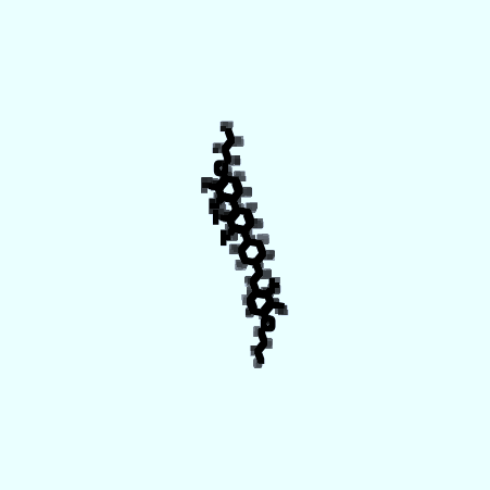 CCCCOc1ccc(CCC2CCC(c3ccc(-c4ccc(OCCCC)c(F)c4F)c(F)c3F)CC2)c(F)c1C